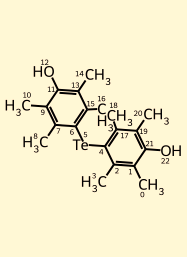 Cc1c(C)c([Te]c2c(C)c(C)c(O)c(C)c2C)c(C)c(C)c1O